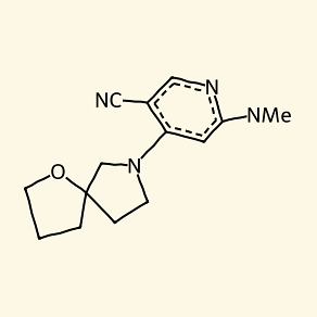 CNc1cc(N2CCC3(CCCO3)C2)c(C#N)cn1